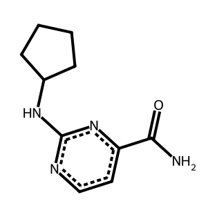 NC(=O)c1ccnc(NC2CCCC2)n1